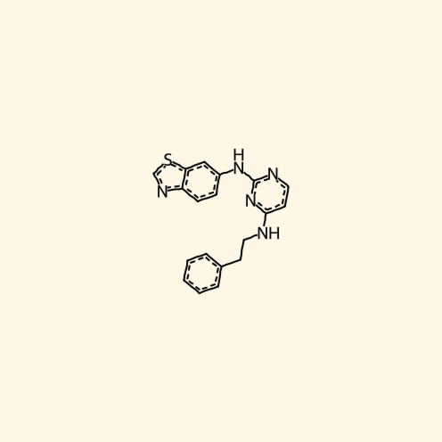 c1ccc(CCNc2ccnc(Nc3ccc4ncsc4c3)n2)cc1